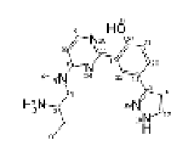 CCC(N)CN(C)c1ccnc(-c2cc(-c3cc[nH]n3)ccc2O)n1